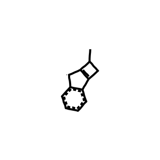 CC1CC2=C1[CH]c1ccccc12